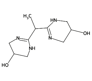 CC(C1=NCC(O)CN1)C1=NCC(O)CN1